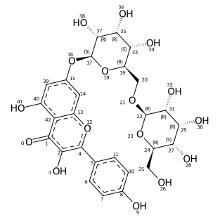 O=c1c(O)c(-c2ccc(O)cc2)oc2cc(O[C@@H]3O[C@H](CO[C@@H]4O[C@H](CO)[C@@H](O)[C@@H](O)[C@H]4O)[C@@H](O)[C@@H](O)[C@H]3O)cc(O)c12